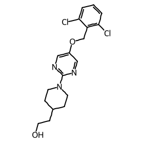 OCCC1CCN(c2ncc(OCc3c(Cl)cccc3Cl)cn2)CC1